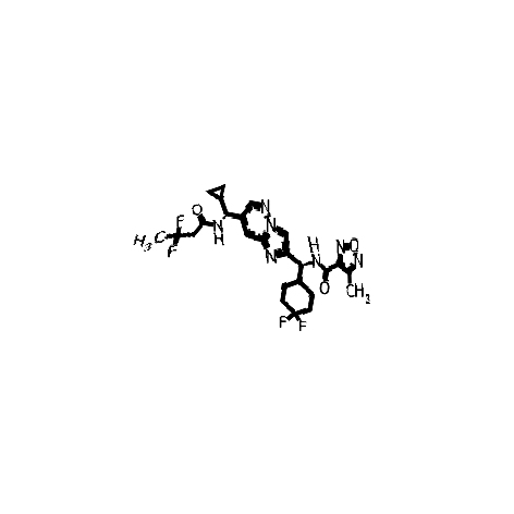 Cc1nonc1C(=O)N[C@H](c1cn2ncc([C@H](NC(=O)CC(C)(F)F)C3CC3)cc2n1)C1CCC(F)(F)CC1